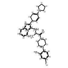 CC(Nc1c(C2C=CC(N3CCCC3)=CC2)nc2cnccn12)C(=O)N1CCN(c2ccc(F)cc2F)CC1